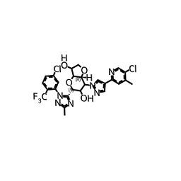 Cc1nc([C@@H]2OC3C(O)CO[C@@H]3C(n3cc(-c4cc(C)c(Cl)cn4)cn3)C2O)n(-c2cc(Cl)ccc2C(F)(F)F)n1